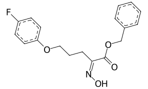 O=C(OCc1ccccc1)/C(CCCOc1ccc(F)cc1)=N\O